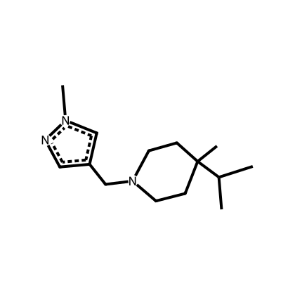 CC(C)C1(C)CCN(Cc2cnn(C)c2)CC1